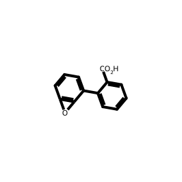 O=C(O)c1ccccc1-c1cccc2c1O2